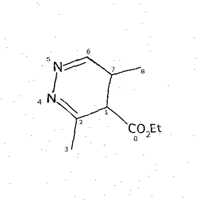 CCOC(=O)C1C(C)=NN=CC1C